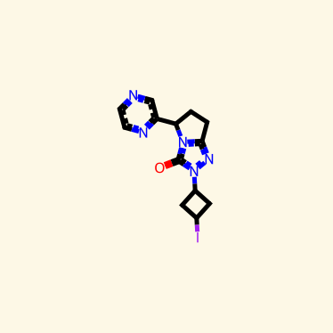 O=c1n(C2CC(I)C2)nc2n1C(c1cnccn1)CC2